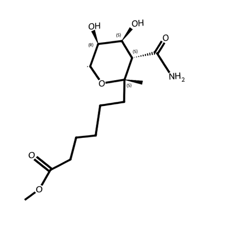 COC(=O)CCCCC[C@]1(C)O[CH][C@@H](O)[C@@H](O)[C@@H]1C(N)=O